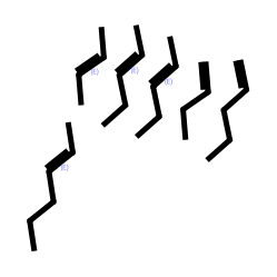 C/C=C/C.C/C=C/CC.C/C=C/CC.C/C=C/CCC.C=CCC.C=CCCC